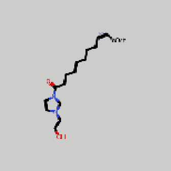 CCCCCCCC/C=C\CCCCCCCC(=O)N1CCN(CCO)C1